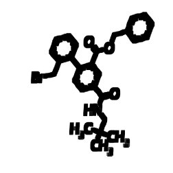 CC(C)(C)CNC(=O)c1ccc(-c2ccccc2CBr)c(C(=O)OCc2ccccc2)c1